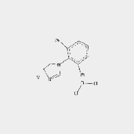 CC(C)c1cccc(C(C)C)c1N1C=NCC1.ClOCl.[V]